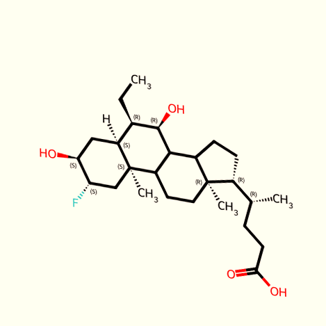 CC[C@H]1[C@@H](O)C2C3CC[C@H]([C@H](C)CCC(=O)O)[C@@]3(C)CCC2[C@@]2(C)C[C@H](F)[C@@H](O)C[C@@H]12